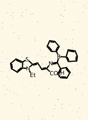 CCN1C(=CC=C(N=C(B(c2ccccc2)c2ccccc2)c2ccccc2)C(=O)O)Sc2ccccc21